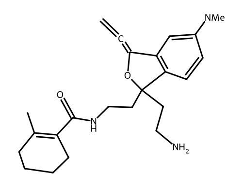 C=C=C1OC(CCN)(CCNC(=O)C2=C(C)CCCC2)c2ccc(NC)cc21